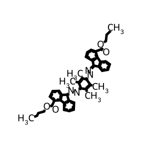 CCCCOC(=O)c1cccc2c1-c1ccccc1C2=NN=C1C(C)=C(C)C(=NN=C2c3ccccc3-c3c(C(=O)OCCCC)cccc32)C(C)=C1C